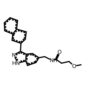 COCCC(=O)NCc1ccc2[nH]nc(-c3ccc4ccccc4c3)c2c1